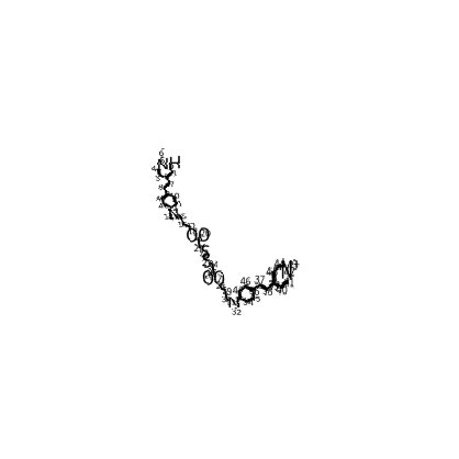 C/C=C(\C=C/NC)/C=C/c1ccc(N(C)CCCOC(=O)CSSCC(=O)OCCCN(C)c2ccc(/C=C/c3cc[n+](C)cc3)cc2)cc1